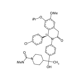 CNC(=O)N1CCC(C(C)(O)c2ccc(N3C(=O)Cc4cc(OC)c(OC(C)C)cc4[C@@H]3c3ccc(Cl)cc3)cc2)CC1